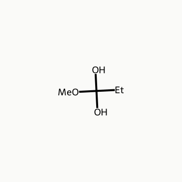 CCC(O)(O)OC